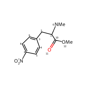 CNC(Cc1ccc([N+](=O)[O-])cc1)C(=O)OC